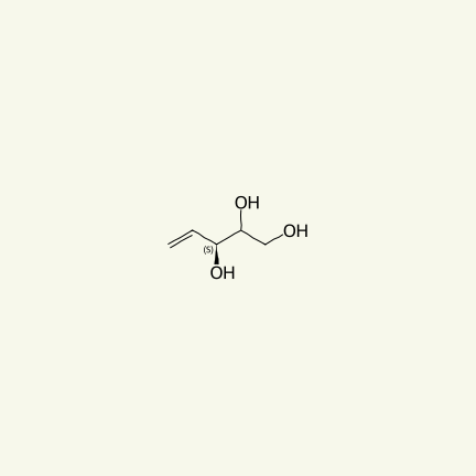 C=C[C@H](O)C(O)CO